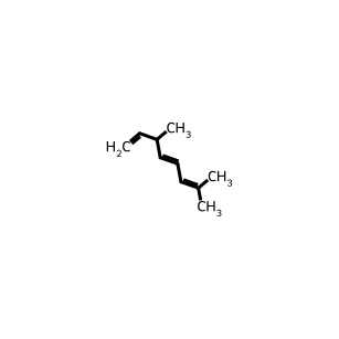 C=CC(C)C=CC=C(C)C